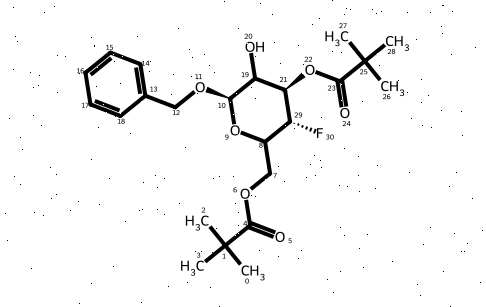 CC(C)(C)C(=O)OCC1O[C@@H](OCc2ccccc2)C(O)[C@@H](OC(=O)C(C)(C)C)[C@@H]1F